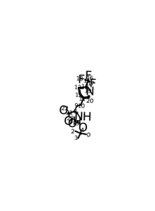 CC(C)(C)OC(=O)N[C@H](CCc1ccc(C(F)(F)F)nc1)C(=O)O